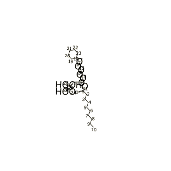 C=C(CCCCCCCCC)OOOOOOOC1CCCCC1.O=P(O)(O)O